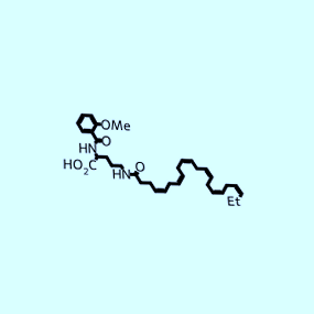 CC/C=C\C/C=C\C/C=C\C/C=C\C/C=C\C/C=C\CCC(=O)NCCCC(NC(=O)c1ccccc1OC)C(=O)O